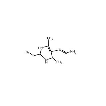 CCCSC1NC(C)=C(N=NN)C(C)N1